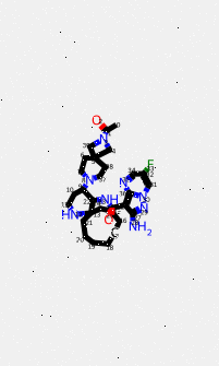 CC(=O)N1CC2(CCN(C3CCNC4(CCCCCCCC4)C3NC(=O)c3c(N)nn4cc(F)cnc34)CC2)C1